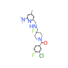 Cc1cc(CNCC2(F)CCN(C(=O)c3ccc(F)c(Cl)c3)CC2)nc(N(C)C)c1